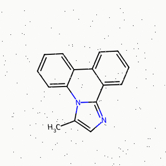 Cc1cnc2c3ccccc3c3ccccc3n12